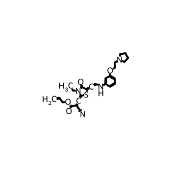 C=CCOC(=O)C(=C=c1sc(=C=CNc2cccc(OCCN3CCCC3)c2)c(=O)n1CC)C#N